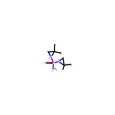 CC1(C)CN1P(N)(=S)N1CC1(C)C